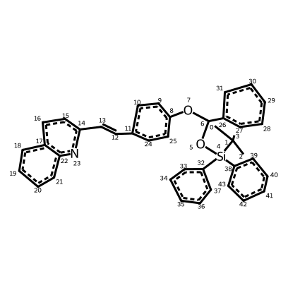 CC(C)(C)[Si](OC(Oc1ccc(C=Cc2ccc3ccccc3n2)cc1)c1ccccc1)(c1ccccc1)c1ccccc1